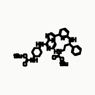 CC(C)(C)OC(=O)NCCC(Nc1cccc(-c2cnc3c(NC4CCC(NC(=O)OC(C)(C)C)CC4)nccn23)n1)c1ccccc1